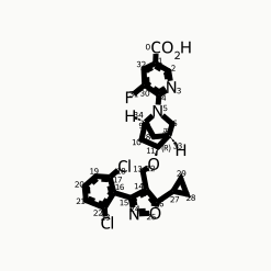 O=C(O)c1cnc(N2C[C@@H]3C[C@H]2C[C@H]3OCc2c(-c3c(Cl)cccc3Cl)noc2C2CC2)c(F)c1